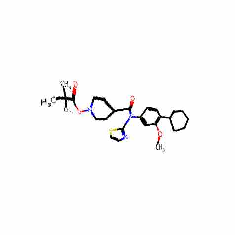 COc1cc(N(C(=O)C2CCN(OC(=O)C(C)(C)C)CC2)c2nccs2)ccc1C1CCCCC1